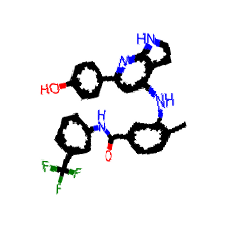 Cc1ccc(C(=O)Nc2cccc(C(F)(F)F)c2)cc1Nc1cc(-c2ccc(O)cc2)nc2[nH]ccc12